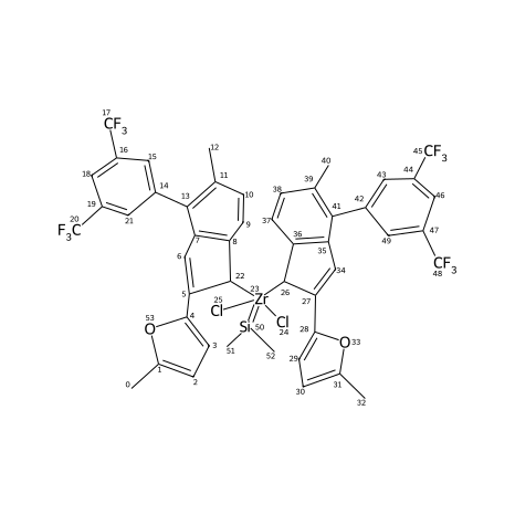 Cc1ccc(C2=Cc3c(ccc(C)c3-c3cc(C(F)(F)F)cc(C(F)(F)F)c3)[CH]2[Zr]([Cl])([Cl])([CH]2C(c3ccc(C)o3)=Cc3c2ccc(C)c3-c2cc(C(F)(F)F)cc(C(F)(F)F)c2)=[Si](C)C)o1